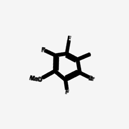 COc1c(F)c(F)c(C)c(Br)c1F